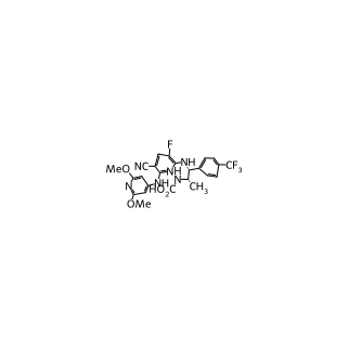 COc1cc(Nc2nc(N[C@H](c3ccc(C(F)(F)F)cc3)[C@H](C)NC(=O)O)c(F)cc2C#N)cc(OC)n1